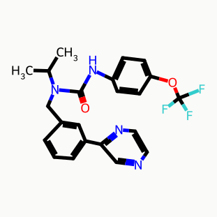 CC(C)N(Cc1cccc(-c2cnccn2)c1)C(=O)Nc1ccc(OC(F)(F)F)cc1